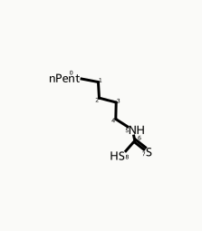 CCCCCCCCCNC(=S)S